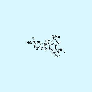 CNc1cc(F)c(F)c2c1[nH]c1nc(Oc3cnc([C@@H](C)O)nc3)nc(N3CC4(CC[C@@H]4N)C3)c12